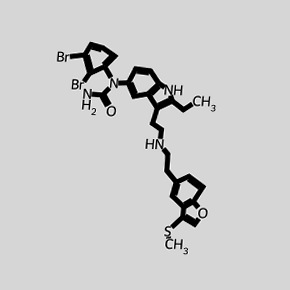 CCc1[nH]c2ccc(N(C(N)=O)c3cccc(Br)c3Br)cc2c1CCNCCc1ccc2occ(SC)c2c1